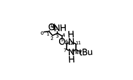 CC1CC(COC2CNC(C(C)(C)C)CN2)NO1